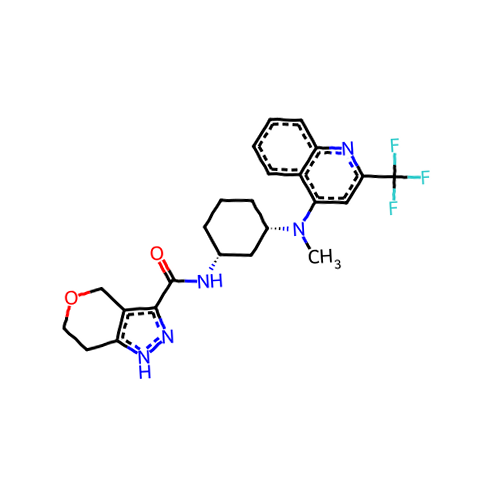 CN(c1cc(C(F)(F)F)nc2ccccc12)[C@H]1CCC[C@@H](NC(=O)c2n[nH]c3c2COCC3)C1